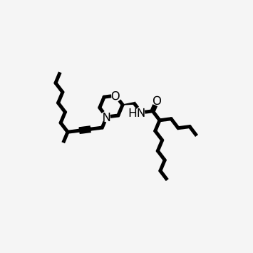 CCCCCCC(C)C#CCN1CCO[C@@H](CNC(=O)C(CCCC)CCCCCC)C1